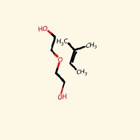 CC=C(C)C.OCCOCCO